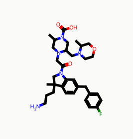 CC1COCCN1CC1CN(C(=O)O)C(C)CN1CC(=O)N1CC(C)(CCCN)c2ccc(Cc3ccc(F)cc3)cc21